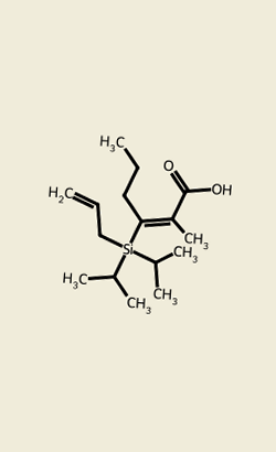 C=CC[Si](C(CCC)=C(C)C(=O)O)(C(C)C)C(C)C